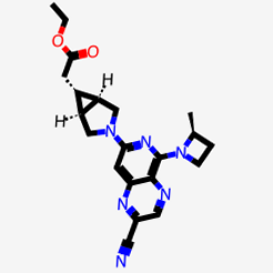 CCOC(=O)C[C@@H]1[C@H]2CN(c3cc4nc(C#N)cnc4c(N4CC[C@@H]4C)n3)C[C@@H]12